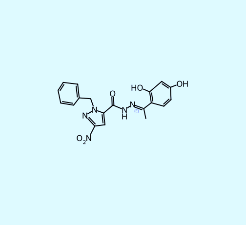 C/C(=N\NC(=O)c1cc([N+](=O)[O-])nn1Cc1ccccc1)c1ccc(O)cc1O